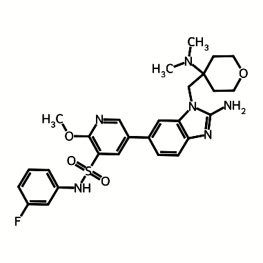 COc1ncc(-c2ccc3nc(N)n(CC4(N(C)C)CCOCC4)c3c2)cc1S(=O)(=O)Nc1cccc(F)c1